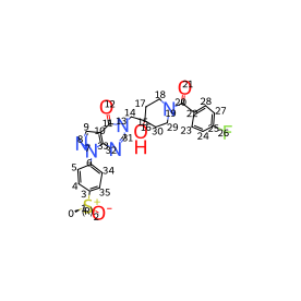 C[S@+]([O-])c1ccc(-n2ncc3c(=O)n(CC4(O)CCN(C(=O)c5ccc(F)cc5)CC4)cnc32)cc1